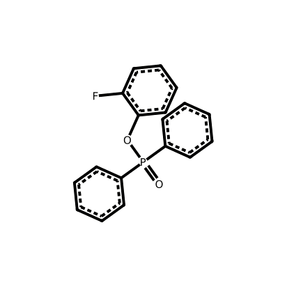 O=P(Oc1ccccc1F)(c1ccccc1)c1ccccc1